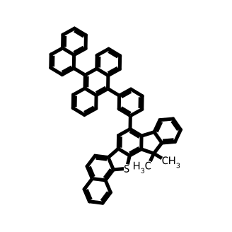 CC1(C)c2ccccc2-c2c(-c3cccc(-c4c5ccccc5c(-c5cccc6ccccc56)c5ccccc45)c3)cc3c(sc4c5ccccc5ccc34)c21